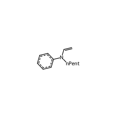 C=CN(CCCCC)c1ccccc1